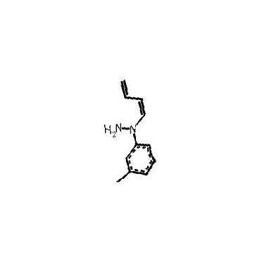 C=C/C=C\N(N)c1cccc(C)c1